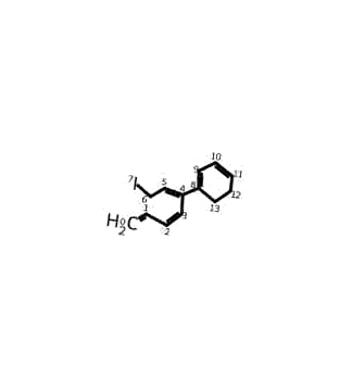 C=C/C=C\C(=C/CI)C1=CC=CCC1